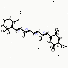 CC1=C(/C=C/C(C)=C/C=C/C(C)=C/C2=CC(=O)C(O)=CC2=O)C(C)(C)CCC1